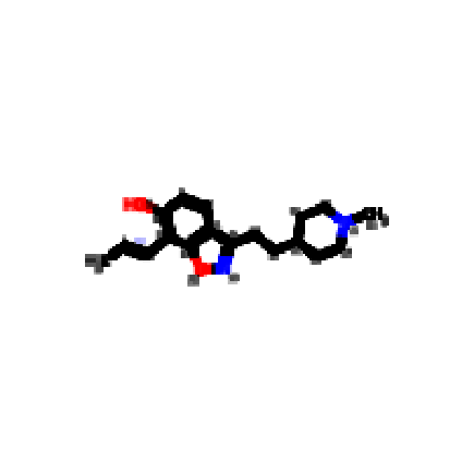 C/C=C/c1c(O)ccc2c(CCC3CCN(C)CC3)noc12